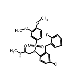 CNC(=O)CN(c1ccc(Cl)cc1Cc1ccccc1F)S(=O)(=O)c1ccc(OC)c(OC)c1